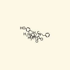 CN(CCc1ccccc1)c1c(N(C)C[C@H](Cc2ccc(O)cc2)N(C)C)c(=O)c1=O